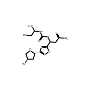 NC(=O)CC(NC(=O)NC(CO)C(=O)O)c1nc([C@@H]2C[C@@H](O)CN2)no1